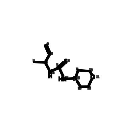 C=CC(C)NC(=S)NN1CCOCC1